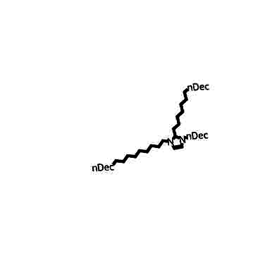 CCCCCCCCCCCCCCCCCCCN1C=CN(CCCCCCCCCC)C1CCCCCCCCCCCCCCCCC